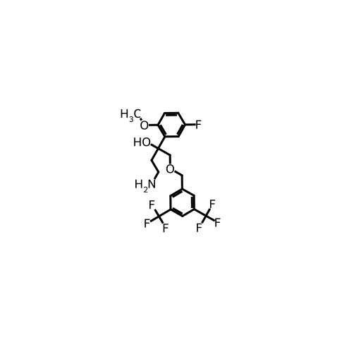 COc1ccc(F)cc1C(O)(CCN)COCc1cc(C(F)(F)F)cc(C(F)(F)F)c1